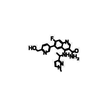 CC(Nc1c(C(N)=O)cnc2cc(F)c(-c3ccc(CO)nc3)cc12)c1ccn(C)n1